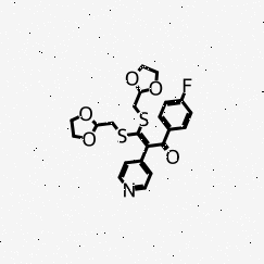 O=C(C(=C(SCC1OCCO1)SCC1OCCO1)c1ccncc1)c1ccc(F)cc1